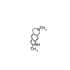 Cc1cc2cc3c(cc2[nH]1)CN(C)CC3